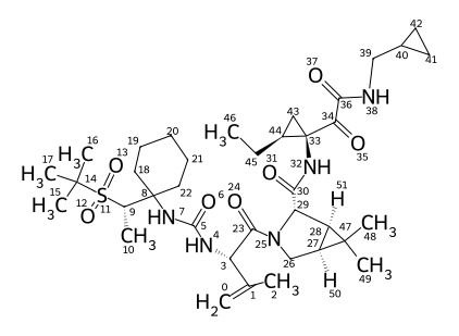 C=C(C)[C@H](NC(=O)NC1([C@H](C)S(=O)(=O)C(C)(C)C)CCCCC1)C(=O)N1C[C@H]2[C@@H]([C@H]1C(=O)N[C@]1(C(=O)C(=O)NCC3CC3)C[C@@H]1CC)C2(C)C